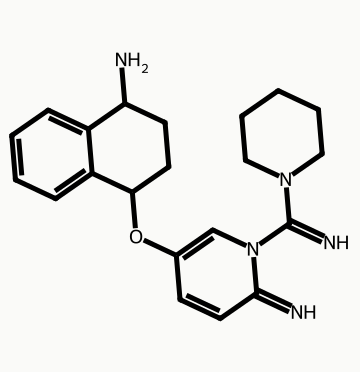 N=C(N1CCCCC1)n1cc(OC2CCC(N)c3ccccc32)ccc1=N